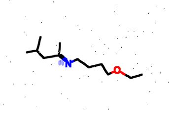 CCOCCCC/N=C(\C)CC(C)C